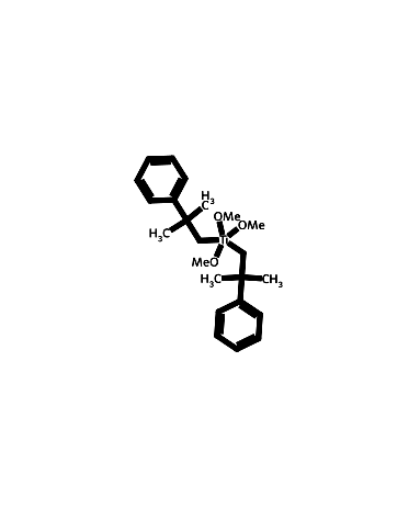 C[O][Ti]([CH2]C(C)(C)c1ccccc1)([CH2]C(C)(C)c1ccccc1)([O]C)[O]C